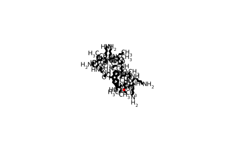 CC[C@H](C)[C@H](NC(=O)[C@H](CCCCN)NC(=O)[C@H](CCCCN)NC(=O)[C@H](C)NC(=O)[C@@H](NC(=O)[C@H](C)NC(=O)[C@H](CC(C)C)NC(=O)[C@H](CC(C)C)NC(=O)[C@H](CCCCN)NC(=O)[C@H](CCCCN)NC(=O)[C@H](CC(C)C)NC(=O)[C@H](CC(N)=O)NC(=O)CNC(=O)OCC1c2ccccc2-c2ccccc21)C(C)C)C(=O)N[C@@H](CC(C)C)C(=O)O